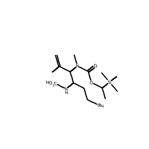 C=C(C)C(C(CCC(C)(C)C)NC(=O)O)N(C)C(=O)OC(C)[Si](C)(C)C